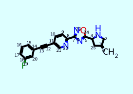 C=C1CNC(c2nc(-c3ccc(C#Cc4cccc(F)c4)cn3)no2)C1